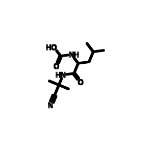 CC(C)CC(NC(=O)O)C(=O)NC(C)(C)C#N